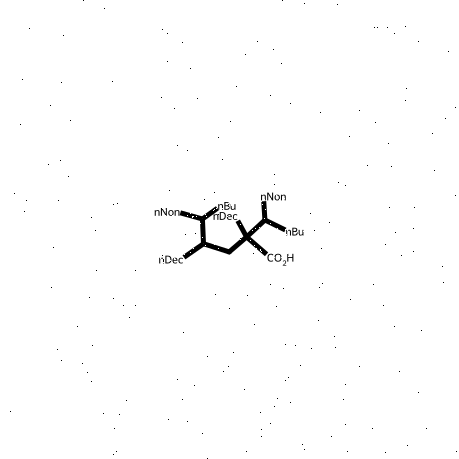 CCCCCCCCCCC(CC(CCCCCCCCCC)(C(=O)O)C(CCCC)CCCCCCCCC)C(CCCC)CCCCCCCCC